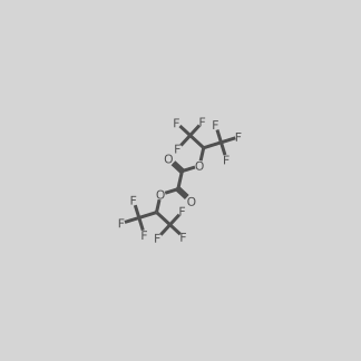 O=C(OC(C(F)(F)F)C(F)(F)F)C(=O)OC(C(F)(F)F)C(F)(F)F